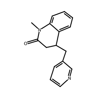 CN1C(=O)CC(Cc2cccnc2)c2ccccc21